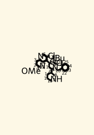 COc1ccc2ncc(Cl)c(CCC(C3CCCNC3)N(Cc3ccccc3)C(=O)OC(C)(C)C)c2n1